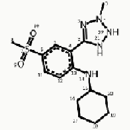 CN1N=C(c2cc(S(C)(=O)=O)ccc2NC2CCCCC2)NN1